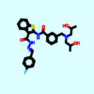 CC(O)CN(Cc1cccc(C(=O)Nc2sc3ccccc3c2C(=O)N/N=C/c2ccc(F)cc2)c1)CC(C)O